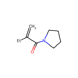 C=C(CC)C(=O)N1CCCC1